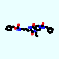 CCCN1C(=O)[C@H](CCCCNC(=O)OCc2ccccc2)NC(=O)C12CCN(C(=O)NCc1ccccc1)CC2